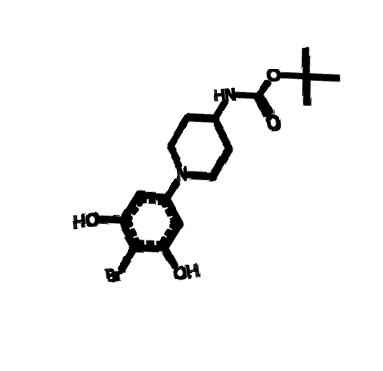 CC(C)(C)OC(=O)NC1CCN(c2cc(O)c(Br)c(O)c2)CC1